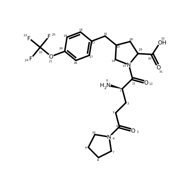 N[C@H](CCC(=O)N1CCCC1)C(=O)N1CC(Cc2ccc(OC(F)(F)F)cc2)CC1C(=O)O